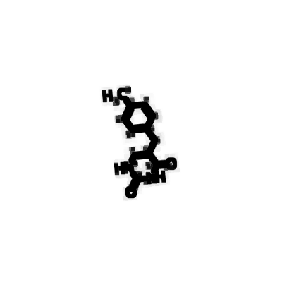 Cc1ccc(Cc2c[nH]c(=O)[nH]c2=O)cc1